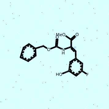 COC(=O)/C(=C/c1cc(O)cc(F)c1)NC(=O)OCc1ccccc1